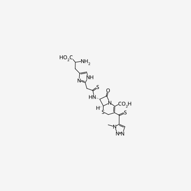 Cn1nncc1C(=S)C1=C(C(=O)O)N2C(=O)[C@@H](NC(=S)Cc3nc(CC(N)C(=O)O)c[nH]3)[C@@H]2SC1